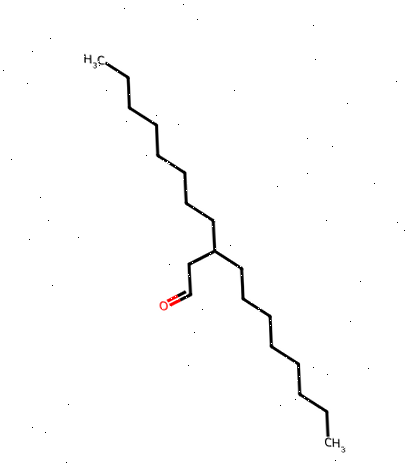 CCCCCCCCC(CC=O)CCCCCCCC